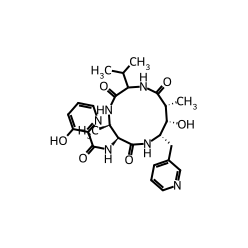 CC(C)C1NC(=O)[C@H](C)[C@H](O)[C@H](Cc2cccnc2)NC(=O)[C@@H](NC(=O)c2ncccc2O)[C@@H](C)NC1=O